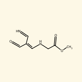 COC(=O)CN/C=C(\C=N)C=O